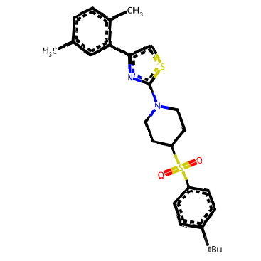 Cc1ccc(C)c(-c2csc(N3CCC(S(=O)(=O)c4ccc(C(C)(C)C)cc4)CC3)n2)c1